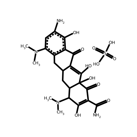 CN(C)c1cc(N)c(O)c2c1CC1CC3C(N(C)C)C(O)=C(C(N)=O)C(=O)C3(O)C(O)=C1C2=O.O=S(=O)(O)O